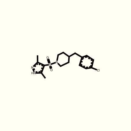 Cc1n[nH]c(C)c1S(=O)(=O)N1CCC(Cc2ccc(Cl)cc2)CC1